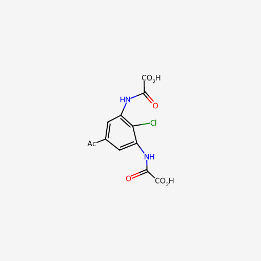 CC(=O)c1cc(NC(=O)C(=O)O)c(Cl)c(NC(=O)C(=O)O)c1